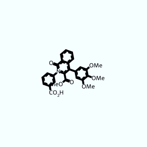 COC(=O)c1c(-c2cc(OC)c(OC)c(OC)c2)c2ccccc2c(=O)n1-c1cccc(C(=O)O)c1